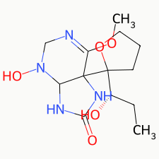 CC[C@H](O)C1(C23NC(=O)NC2N(O)CN=C3OC)CCCO1